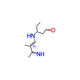 CCC(CC=O)N/C=C(\C)C(C)=N